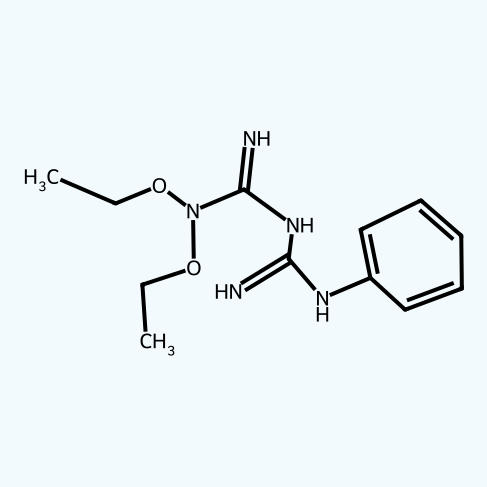 CCON(OCC)C(=N)NC(=N)Nc1ccccc1